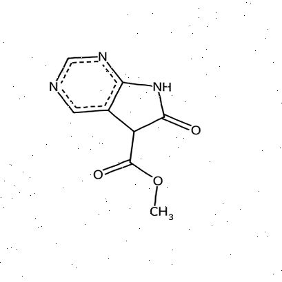 COC(=O)C1C(=O)Nc2ncncc21